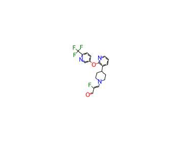 O=CC(F)=CN1CCC(c2cccnc2Oc2ccc(C(F)(F)F)nc2)CC1